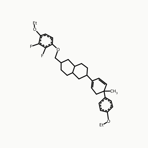 CCOc1ccc(C2(C)C=CC(C3CCC4CC(COc5ccc(OCC)c(F)c5F)CCC4C3)=CC2)cc1